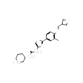 Cc1cc(-c2nc(NC(=O)N[C@H]3CCCNC3)cs2)ccc1OCC1COC1